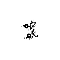 C[C@H](O)c1nc(Cn2c(Cl)c(-c3ccc(Cl)cc3)n(C[C@H](O)C(F)(F)F)c2=O)nn1-c1ccc(Cl)c(F)c1